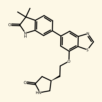 CC1(C)C(=O)Nc2cc(-c3cc(OCC[C@H]4CNC(=O)C4)c4scnc4c3)ccc21